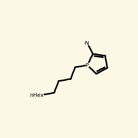 CCCCCCCCCCp1cccc1[N]